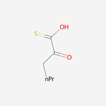 CCCCC(=O)C(O)=S